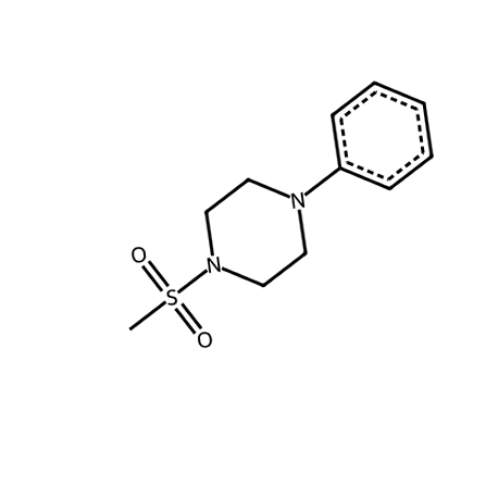 CS(=O)(=O)N1CCN(c2ccccc2)CC1